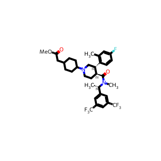 COC(=O)CC1CCC(N2CC[C@H](C(=O)N(C)[C@@H](C)c3cc(C(F)(F)F)cc(C(F)(F)F)c3)[C@@H](c3ccc(F)cc3C)C2)CC1